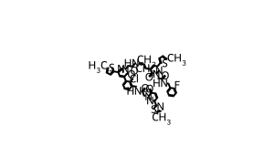 Cc1ccc(-c2cc(CCC(C)(C)NC(=O)Cn3nc(-c4ccc(C)s4)cc(-c4cccc(CNC(=O)Cn5nc(-c6ncc(C)s6)ccc5=O)c4Cl)c3=O)c(=O)n(CC(=O)NCc3ccccc3F)n2)s1